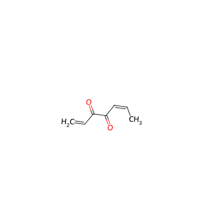 C=CC(=O)C(=O)/C=C\C